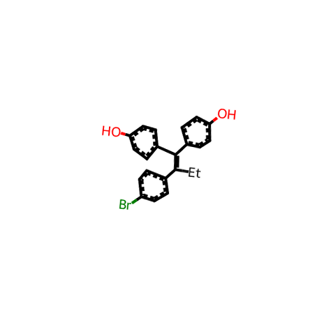 CCC(=C(c1ccc(O)cc1)c1ccc(O)cc1)c1ccc(Br)cc1